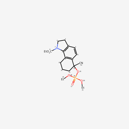 CCOC(=O)N1CCc2ccc3c(c21)CCCC3(C#N)OP(=O)(OCC)OCC